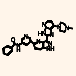 CN1CCN(c2ccnc3[nH]c(-c4n[nH]c5ccc(-c6cncc(NC(=O)c7ccccc7)c6)nc45)nc23)CC1